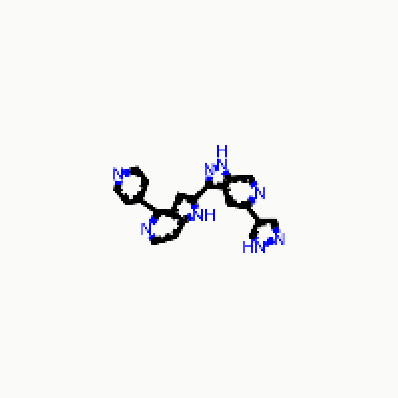 c1cc(-c2nccc3[nH]c(-c4n[nH]c5cnc(-c6cn[nH]c6)cc45)cc23)ccn1